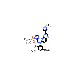 COc1cc(OC)c(C)c(N(Cc2nccn2S(=O)(=O)N(C)C)c2ccc3ncc(-c4cnn(C)c4)nc3n2)c1